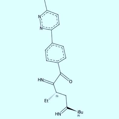 CC[C@@H](CC(=N)[C@H](C)CC)C(=N)C(=O)c1ccc(-c2ccc(C)nn2)cc1